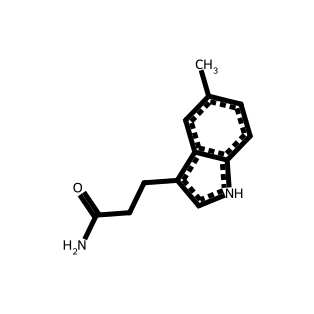 Cc1ccc2[nH]cc(CCC(N)=O)c2c1